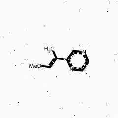 COC=C(C)c1cnccn1